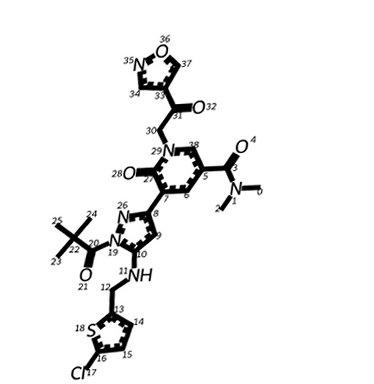 CN(C)C(=O)c1cc(-c2cc(NCc3ccc(Cl)s3)n(C(=O)C(C)(C)C)n2)c(=O)n(CC(=O)c2cnoc2)c1